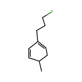 CC1C=CC(CCCF)=CC1